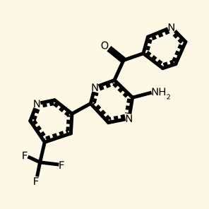 Nc1ncc(-c2cncc(C(F)(F)F)c2)nc1C(=O)c1cccnc1